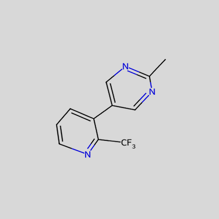 Cc1ncc(-c2cccnc2C(F)(F)F)cn1